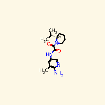 Cc1cc(NC(=O)C(=O)N2CCCC[C@H]2C(C)C)cnc1N